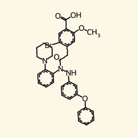 COc1cc(CC(=O)N(Nc2cccc(Oc3ccccc3)c2)c2ccccc2N2CCCCC2)c(Br)cc1C(=O)O